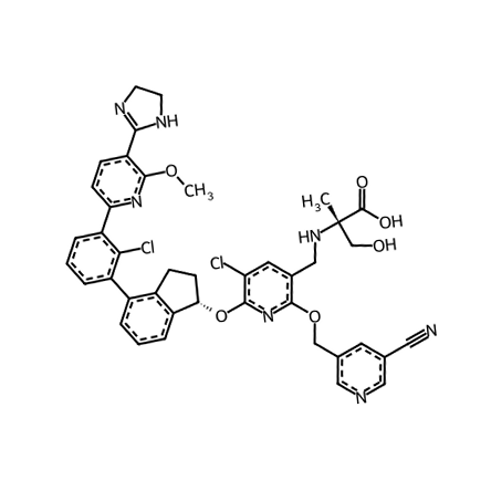 COc1nc(-c2cccc(-c3cccc4c3CC[C@@H]4Oc3nc(OCc4cncc(C#N)c4)c(CN[C@@](C)(CO)C(=O)O)cc3Cl)c2Cl)ccc1C1=NCCN1